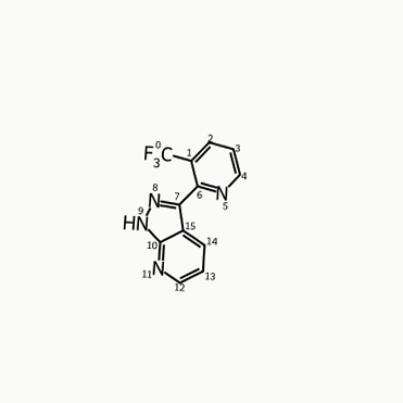 FC(F)(F)c1cccnc1-c1n[nH]c2ncccc12